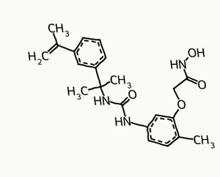 C=C(C)c1cccc(C(C)(C)NC(=O)Nc2ccc(C)c(OCC(=O)NO)c2)c1